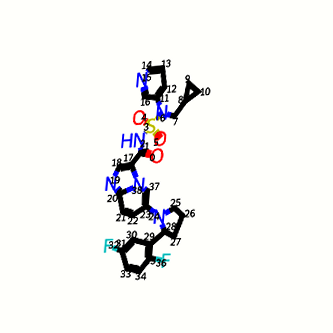 O=C(NS(=O)(=O)N(CC1CC1)c1cccnc1)c1cnc2ccc(N3CCCC3c3cc(F)ccc3F)cn12